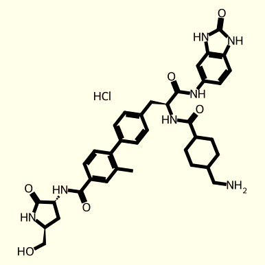 Cc1cc(C(=O)N[C@@H]2C[C@@H](CO)NC2=O)ccc1-c1ccc(C[C@H](NC(=O)C2CCC(CN)CC2)C(=O)Nc2ccc3[nH]c(=O)[nH]c3c2)cc1.Cl